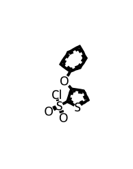 O=S(=O)(Cl)c1sccc1Oc1ccccc1